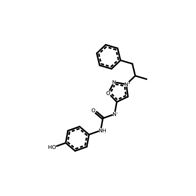 CC(Cc1ccccc1)[n+]1cc([N-]C(=O)Nc2ccc(O)cc2)on1